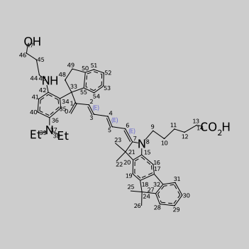 C=C(/C=C/C=C/C=C1/N(CCCCCC(=O)O)c2cc3c(cc2C1(C)C)C(C)(C)c1ccccc1-3)C1(c2cc(N(CC)CC)ccc2NCCCO)CCc2ccccc21